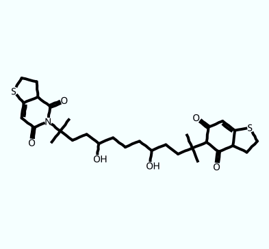 CC(C)(CCC(O)CCCC(O)CCC(C)(C)N1C(=O)C=C2SCCC2C1=O)C1C(=O)C=C2SCCC2C1=O